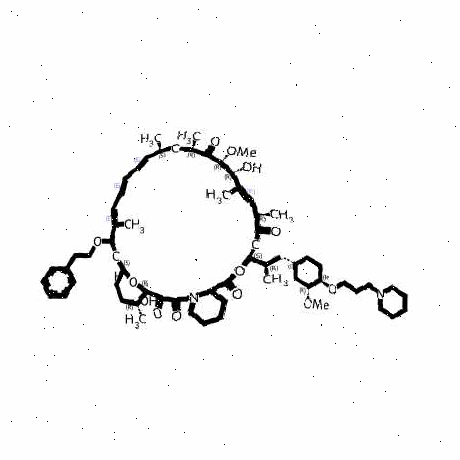 CO[C@@H]1C[C@H](C[C@@H](C)[C@@H]2CC(=O)[C@H](C)/C=C(\C)[C@@H](O)[C@@H](OC)C(=O)[C@H](C)C[C@H](C)/C=C/C=C/C=C(\C)C(OCCc3ccccc3)C[C@@H]3CC[C@@H](C)[C@@](O)(O3)C(=O)C(=O)N3CCCCC3C(=O)O2)CC[C@H]1OCCCN1CCCCC1